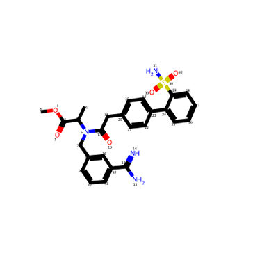 COC(=O)C(C)N(Cc1cccc(C(=N)N)c1)C(=O)Cc1ccc(-c2ccccc2S(N)(=O)=O)cc1